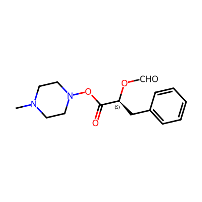 CN1CCN(OC(=O)[C@H](Cc2ccccc2)OC=O)CC1